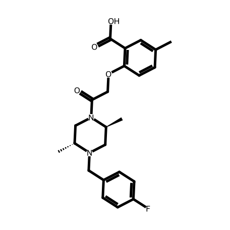 Cc1ccc(OCC(=O)N2C[C@@H](C)N(Cc3ccc(F)cc3)C[C@@H]2C)c(C(=O)O)c1